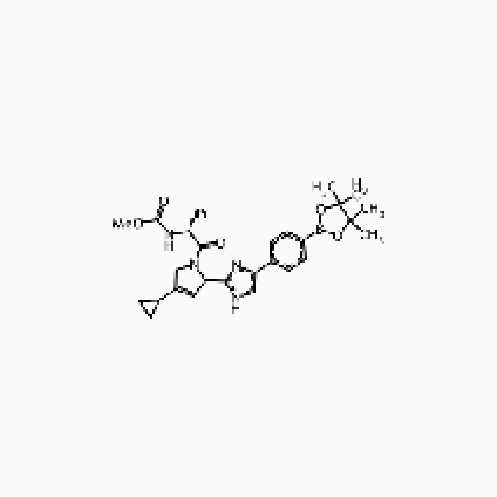 COC(=O)N[C@H](C(=O)N1CC(C2CC2)=CC1c1nc(-c2ccc(B3OC(C)(C)C(C)(C)O3)cc2)c[nH]1)C(C)C